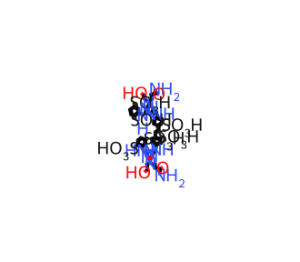 NC(=O)CCN(CCO)c1nc(Nc2ccc(C=Cc3ccc(Nc4nc(Nc5cc(S(=O)(=O)O)ccc5S(=O)(=O)O)nc(N(CCO)CCC(N)=O)n4)cc3S(=O)(=O)O)c(S(=O)(=O)O)c2)nc(Nc2cc(S(=O)(=O)O)ccc2S(=O)(=O)O)n1